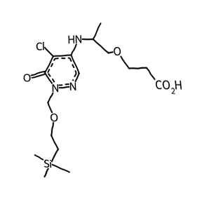 CC(COCCC(=O)O)Nc1cnn(COCC[Si](C)(C)C)c(=O)c1Cl